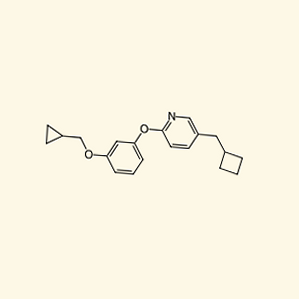 c1cc(OCC2CC2)cc(Oc2ccc(CC3CCC3)cn2)c1